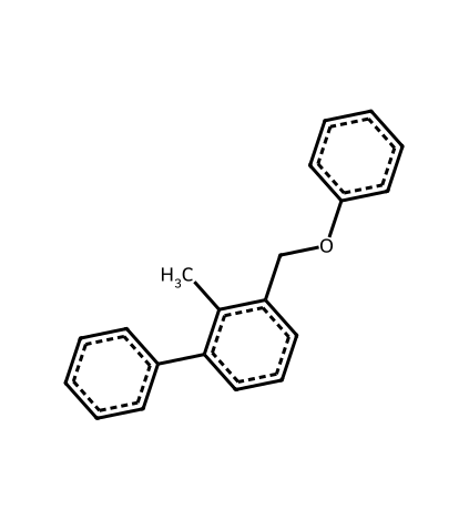 Cc1c(COc2ccccc2)cccc1-c1ccccc1